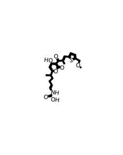 COCc1ccc(/C=C(\C)C(=O)c2c(O)cc(C(C)CC/C=C/NC(=O)O)oc2=O)s1